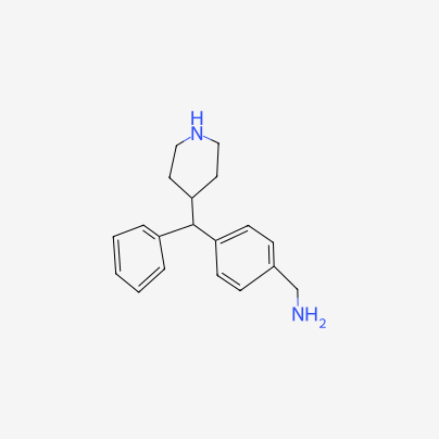 NCc1ccc(C(c2ccccc2)C2CCNCC2)cc1